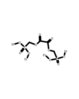 CCOP(=O)(COC(=O)C(=O)OCP(=O)(OCC)OCC)OCC